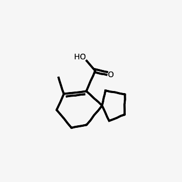 CC1=C(C(=O)O)C2(CCCC2)CCC1